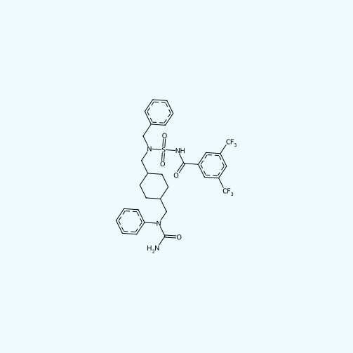 NC(=O)N(CC1CCC(CN(Cc2ccccc2)S(=O)(=O)NC(=O)c2cc(C(F)(F)F)cc(C(F)(F)F)c2)CC1)c1ccccc1